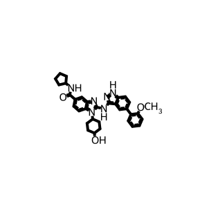 COc1ccccc1-c1ccc2[nH]nc(Nc3nc4cc(C(=O)NC5CCCC5)ccc4n3C3CCC(O)CC3)c2c1